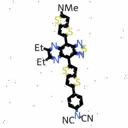 CCc1nc2c(-c3cc4sc(NC)cc4s3)c3nsnc3c(-c3cc4sc(-c5ccc(N(C#N)C#N)cc5)cc4s3)c2nc1CC